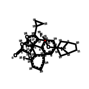 O=c1[nH]c(-c2ccc(N3C4CCC3CC(OCc3c(-c5c(F)cccc5F)noc3C3CC3)C4)cc2F)no1